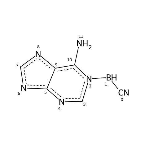 N#CBn1cnc2ncnc-2c1N